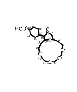 CN1CC2CCCCCCCCCCCCC(C2)C1C1CCC(C(=O)O)CC1